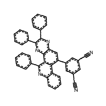 N#Cc1cc(C#N)cc(-c2cc3nc(-c4ccccc4)c(-c4ccccc4)nc3c3c(-c4ccccc4)nc4ccccc4c23)c1